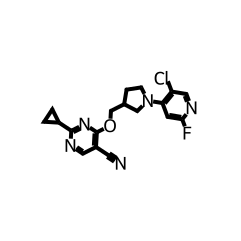 N#Cc1cnc(C2CC2)nc1OCC1CCN(c2cc(F)ncc2Cl)C1